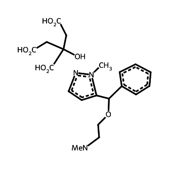 CNCCOC(c1ccccc1)c1ccnn1C.O=C(O)CC(O)(CC(=O)O)C(=O)O